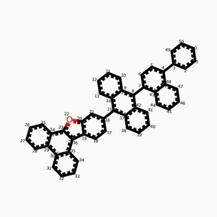 c1ccc(-c2ccc(-c3c4ccccc4c(-c4ccc5c(c4)oc4c6ccccc6c6ccccc6c54)c4ccccc34)c3ccccc23)cc1